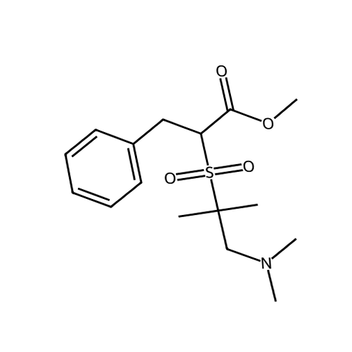 COC(=O)C(Cc1ccccc1)S(=O)(=O)C(C)(C)CN(C)C